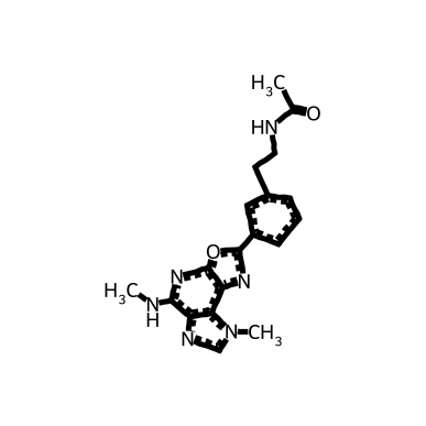 CNc1nc2oc(-c3cccc(CCNC(C)=O)c3)nc2c2c1ncn2C